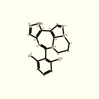 Clc1cccc(Cl)c1C1=Nc2cn[nH]c2-c2cnn3c2N1CCC3